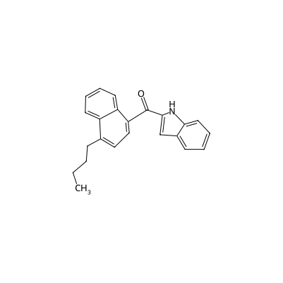 CCCCc1ccc(C(=O)c2cc3ccccc3[nH]2)c2ccccc12